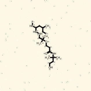 CC(CF)CC(BF)BNCC(C)(C)OCCC(=O)NC(C)(C)CCO